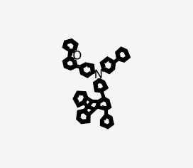 c1ccc(-c2ccc(N(c3ccc(-c4ccc(-c5ccccc5)c5c4C4c6ccccc6C46c4ccccc4C56)cc3)c3ccc(-c4cccc5c4oc4ccccc45)cc3)cc2)cc1